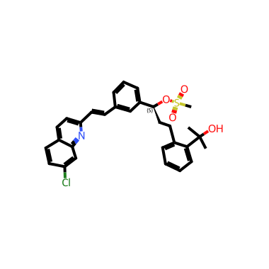 CC(C)(O)c1ccccc1CC[C@H](OS(C)(=O)=O)c1cccc(C=Cc2ccc3ccc(Cl)cc3n2)c1